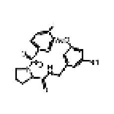 COc1cc(Cl)cc(CNC(=O)C2CCCN2S(=O)(=O)c2ccc(F)cc2)c1